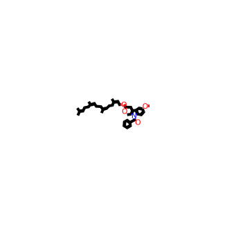 COc1ccc2c(c1)c(CC(=O)OCC=C(C)CCC=C(C)CCC=C(C)CCC=C(C)C)c(C)n2C(=O)c1ccccc1